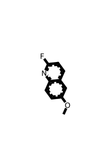 COc1ccc2nc(F)ccc2c1